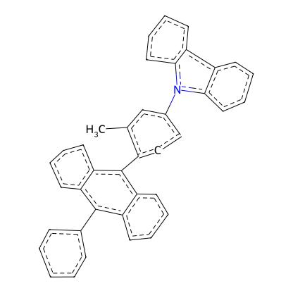 Cc1cc(-n2c3ccccc3c3ccccc32)ccc1-c1c2ccccc2c(-c2ccccc2)c2ccccc12